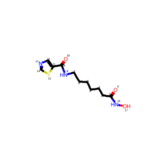 O=C(CCCCCCNC(=O)c1cncs1)NO